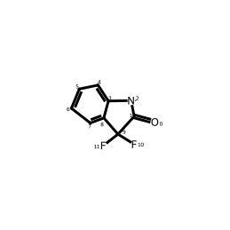 O=C1[N]c2ccccc2C1(F)F